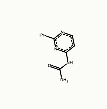 CC(C)c1nccc(NC(N)=O)n1